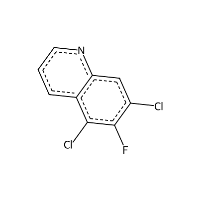 Fc1c(Cl)cc2ncccc2c1Cl